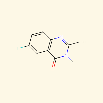 CC(C)(C)c1nc2ccc(F)cc2c(=O)n1C(C)(C)C